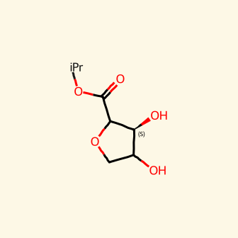 CC(C)OC(=O)C1OCC(O)[C@@H]1O